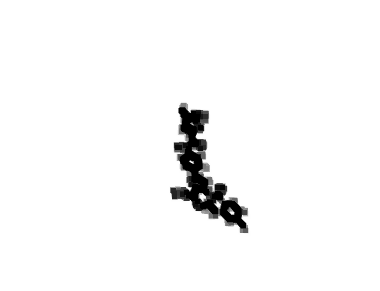 Cc1cc(C(=O)Nc2ccc(-c3cc(N(C(=O)[C@H]4CC[C@H](C)CC4)C(C)C)c(C(=O)O)s3)cc2)n[nH]1